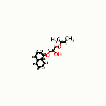 C/C=C(\C)OCC(O)COc1cccc2ccccc12